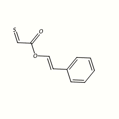 O=C(C=S)OC=Cc1ccccc1